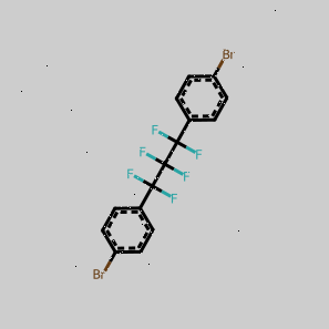 FC(F)(c1ccc(Br)cc1)C(F)(F)C(F)(F)c1ccc(Br)cc1